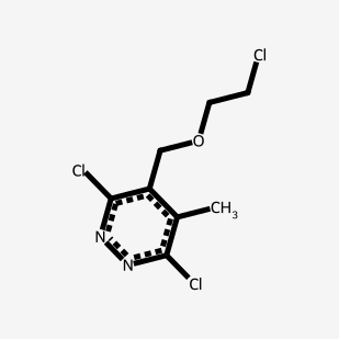 Cc1c(Cl)nnc(Cl)c1COCCCl